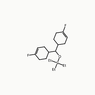 CC[Si](CC)(CC)OC(C1CC=C(F)CC1)C1CC=C(F)CC1